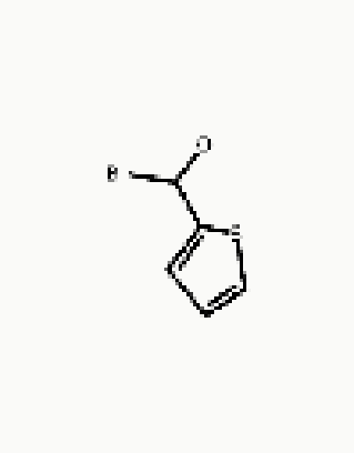 [O]C(Br)c1cccs1